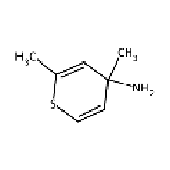 CC1=CC(C)(N)C=CS1